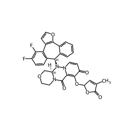 CC1=CC(Oc2c3n(ccc2=O)N([C@@H]2c4ccccc4-c4occc4-c4c2ccc(F)c4F)[C@@H]2COCCN2C3=O)OC1=O